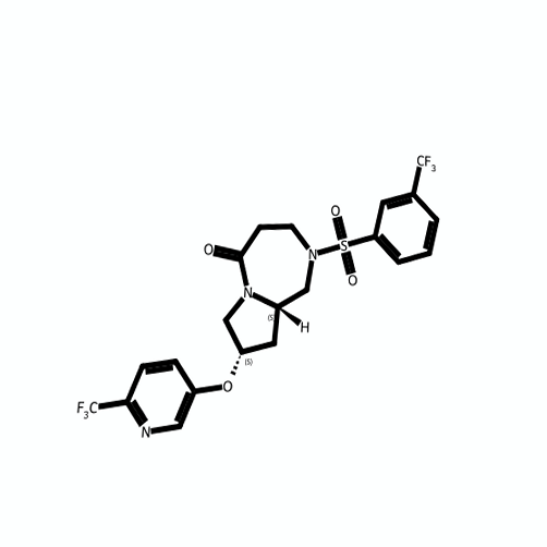 O=C1CCN(S(=O)(=O)c2cccc(C(F)(F)F)c2)C[C@@H]2C[C@H](Oc3ccc(C(F)(F)F)nc3)CN12